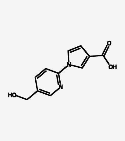 O=C(O)c1ccn(-c2ccc(CO)cn2)c1